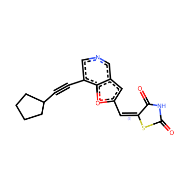 O=C1NC(=O)/C(=C\c2cc3cncc(C#CC4CCCC4)c3o2)S1